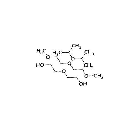 CC(C)OC(C)C.COCCOCCOC.OCCOCCO